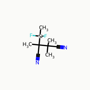 CC(C)(C#N)C(C)(C#N)[Si](C)(F)F